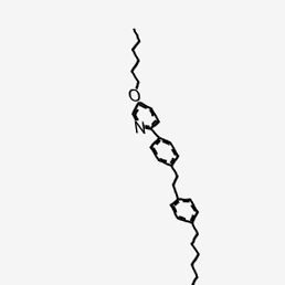 CCCCCCOc1ccc(-c2ccc(CCc3ccc(CCCCCC)cc3)cc2)nc1